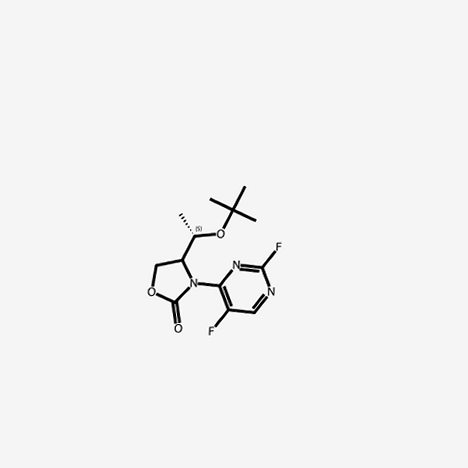 C[C@H](OC(C)(C)C)C1COC(=O)N1c1nc(F)ncc1F